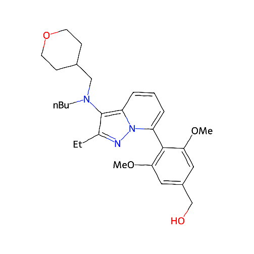 CCCCN(CC1CCOCC1)c1c(CC)nn2c(-c3c(OC)cc(CO)cc3OC)cccc12